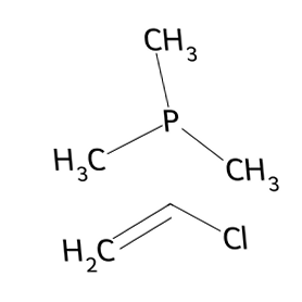 C=CCl.CP(C)C